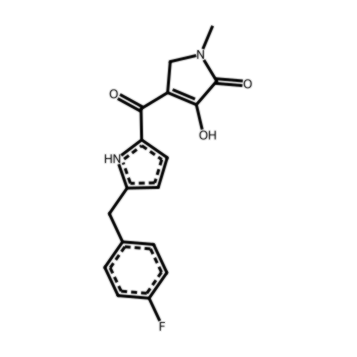 CN1CC(C(=O)c2ccc(Cc3ccc(F)cc3)[nH]2)=C(O)C1=O